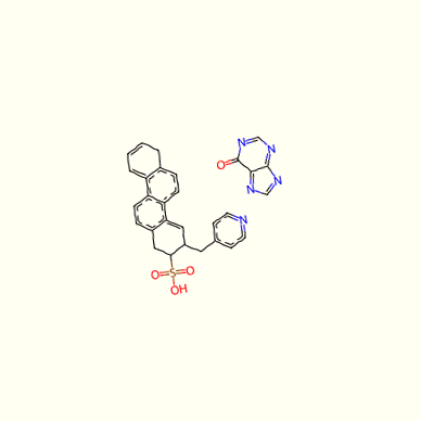 O=C1N=CN=C2N=CN=C12.O=S(=O)(O)C1Cc2ccc3c4c(ccc3c2=CC1Cc1ccncc1)CC=CC=4